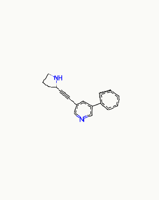 C(#CC1CCCN1)c1cncc(-c2ccccc2)c1